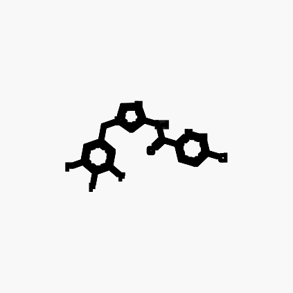 O=C(Nc1cn(Cc2cc(F)c(F)c(F)c2)cn1)c1ccc(Cl)nn1